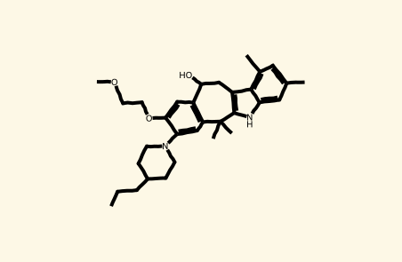 CCCC1CCN(c2cc3c(cc2OCCOC)C(O)Cc2c([nH]c4cc(C)cc(C)c24)C3(C)C)CC1